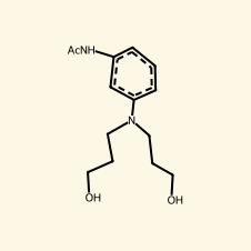 CC(=O)Nc1cccc(N(CCCO)CCCO)c1